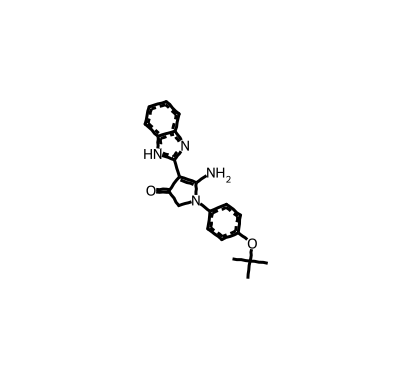 CC(C)(C)Oc1ccc(N2CC(=O)C(c3nc4ccccc4[nH]3)=C2N)cc1